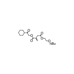 C=C(CC(=O)OCCOCCCC)C(=O)OCC(=O)C1CCCCC1